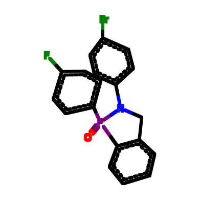 O=P1(c2ccc(F)cc2)c2ccccc2CN1c1ccc(Br)cc1